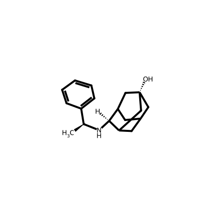 C[C@H](N[C@H]1C2CC3CC1C[C@](O)(C3)C2)c1ccccc1